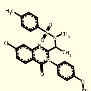 COc1ccc(-n2c(C(C)N(C)S(=O)(=O)c3ccc(C)cc3)nc3cc(Cl)ccc3c2=O)cc1